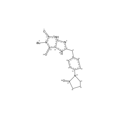 CCC(C)n1c(=O)[nH]c2nc(Cc3ccc(N4CCCC4=O)cc3)[nH]c2c1=O